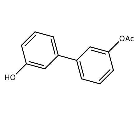 CC(=O)Oc1cccc(-c2cccc(O)c2)c1